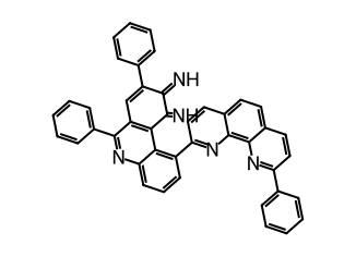 N=C1C(=N)c2c(c(-c3ccccc3)nc3cccc(-c4ccc5ccc6ccc(-c7ccccc7)nc6c5n4)c23)C=C1c1ccccc1